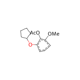 COc1cccc(OC2CCCC2)c1OC(C)=O